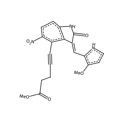 COC(=O)CCC#Cc1c([N+](=O)[O-])ccc2c1C(=Cc1[nH]ccc1OC)C(=O)N2